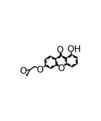 O=c1c2ccc(OCC3CO3)cc2oc2cccc(O)c12